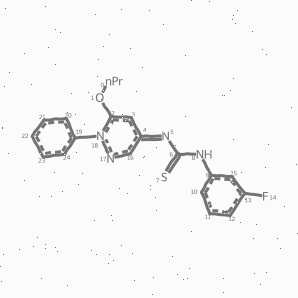 CCCOc1c/c(=N/C(=S)Nc2cccc(F)c2)cnn1-c1ccccc1